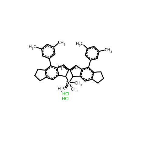 CC1=Cc2c(cc3c(c2-c2cc(C)cc(C)c2)CCC3)[CH]1[Zr]([CH3])([CH3])(=[SiH2])[CH]1C(C)=Cc2c1cc1c(c2-c2cc(C)cc(C)c2)CCC1.Cl.Cl